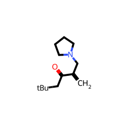 C=C(CN1CCCC1)C(=O)CC(C)(C)C